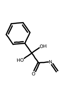 C=NC(=O)C(O)(O)c1ccccc1